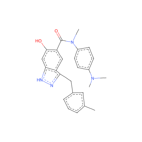 Cc1cccc(Cc2n[nH]c3cc(O)c(C(=O)N(C)c4ccc(N(C)C)cc4)cc23)c1